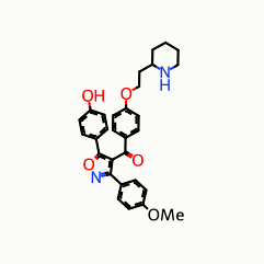 COc1ccc(-c2noc(-c3ccc(O)cc3)c2C(=O)c2ccc(OCCC3CCCCN3)cc2)cc1